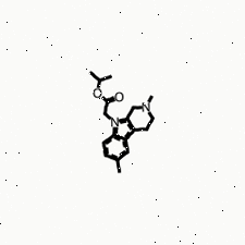 Cc1ccc2c(c1)c1c(n2CC(=O)OC(C)C)CN(C)CC1